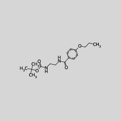 CCCOc1ccc(C(=O)NCCNC(=O)OC(C)(C)C)cc1